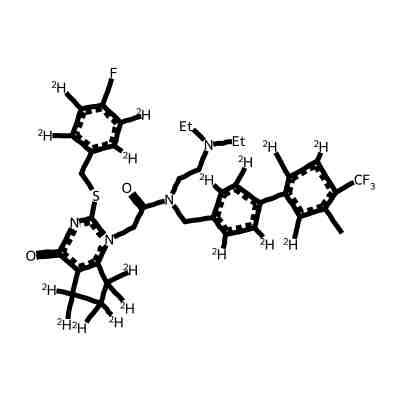 [2H]c1c([2H])c(CSc2nc(=O)c3c(n2CC(=O)N(CCN(CC)CC)Cc2c([2H])c([2H])c(-c4c([2H])c([2H])c(C(F)(F)F)c(C)c4[2H])c([2H])c2[2H])C([2H])([2H])C([2H])([2H])C3([2H])[2H])c([2H])c([2H])c1F